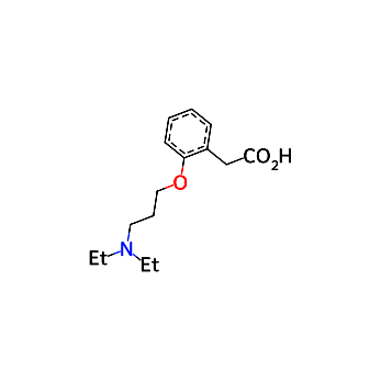 CCN(CC)CCCOc1ccccc1CC(=O)O